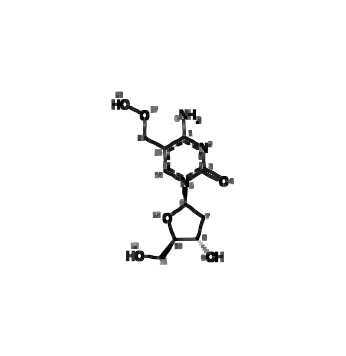 Nc1nc(=O)n([C@H]2C[C@H](O)[C@@H](CO)O2)cc1COO